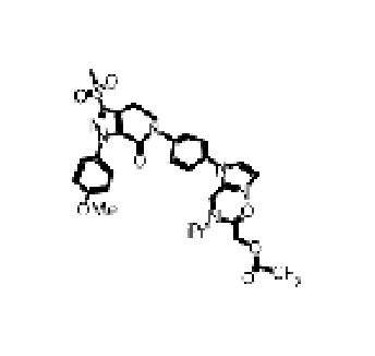 COc1ccc(-n2nc(S(C)(=O)=O)c3c2C(=O)N(c2ccc(-n4ccnc4CN(C(=O)COC(=O)C(F)(F)F)C(C)C)cc2)CC3)cc1